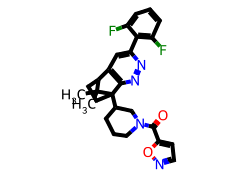 CC1(C)C2CCC1(C1CCCN(C(=O)c3ccno3)C1)c1nnc(-c3c(F)cccc3F)cc12